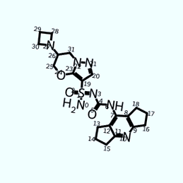 NS(=O)(=NC(=O)Nc1c2c(nc3c1CCC3)CCC2)c1cnn2c1OCC(N1CCC1)C2